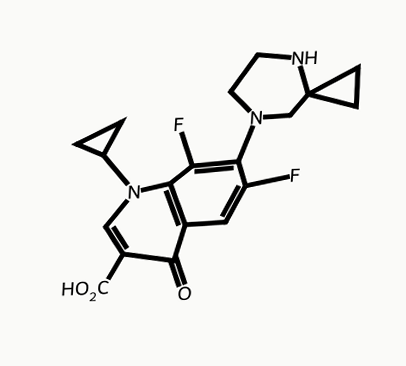 O=C(O)c1cn(C2CC2)c2c(F)c(N3CCNC4(CC4)C3)c(F)cc2c1=O